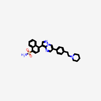 NS(=O)(=O)c1ccc(-c2cnn3cc(-c4ccc(CCN5CCCCC5)cc4)cnc23)c2ccccc12